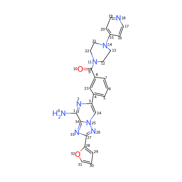 Nc1nc(-c2cccc(C(=O)N3CCN(c4ccncc4)CC3)c2)cn2nc(-c3ccco3)nc12